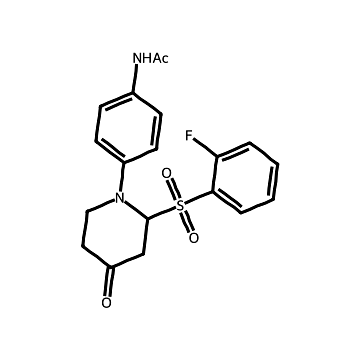 CC(=O)Nc1ccc(N2CCC(=O)CC2S(=O)(=O)c2ccccc2F)cc1